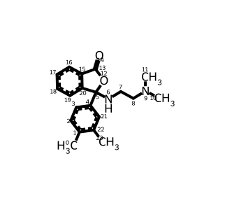 Cc1ccc(C2(NCCN(C)C)OC(=O)c3ccccc32)cc1C